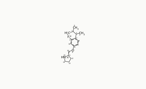 CC(C)C(C)c1ccc(OC[C@H]2CCCN2)cc1F